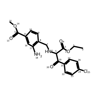 CCOC(=O)C(NCc1ccc(C(=O)OC)cc1N)C(=O)c1ccc(Cl)cc1